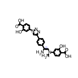 N/C(=C\N(N)c1ccc(C(=O)O)c(O)c1)c1ccc(-c2cn(-c3ccc(C(=O)O)c(O)c3)nn2)cc1